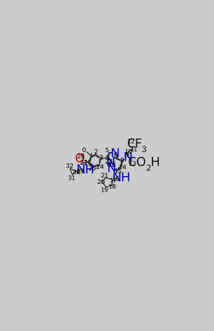 Cc1cc(-c2cnc3c(N(CCC(F)(F)F)C(=O)O)cc(NC4CCCC4)nn23)ccc1C(=O)NC1CC1